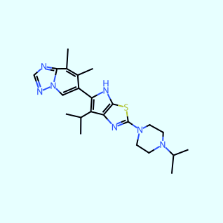 Cc1c(-c2[nH]c3sc(N4CCN(C(C)C)CC4)nc3c2C(C)C)cn2ncnc2c1C